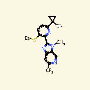 CCSc1ccc(C2(C#N)CC2)nc1-c1nc2cc(C(F)(F)F)ncc2n1C